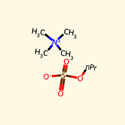 CCCOS(=O)(=O)[O-].C[N+](C)(C)C